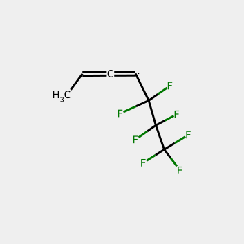 CC=C=[C]C(F)(F)C(F)(F)C(F)(F)F